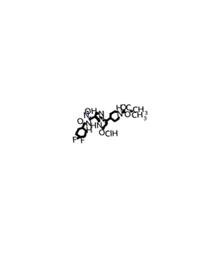 CC(C)(C)OC(=O)N1CCC(c2cc(=O)[nH]c3c(/C(=N\O)NC(=O)C4CCC(F)(F)CC4)cnn23)CC1.Cl